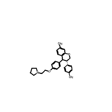 Oc1ccc([C@H]2COc3cc(O)ccc3C2c2ccc(OCCN3CCCC3)cc2)cc1